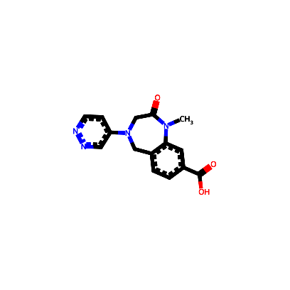 CN1C(=O)CN(c2ccnnc2)Cc2ccc(C(=O)O)cc21